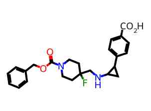 O=C(O)c1ccc(C2CC2NCC2(F)CCN(C(=O)OCc3ccccc3)CC2)cc1